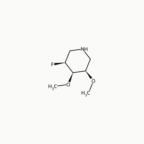 CO[C@H]1[C@@H](F)CNC[C@H]1OC